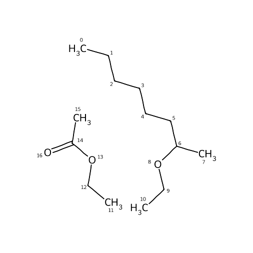 CCCCCCC(C)OCC.CCOC(C)=O